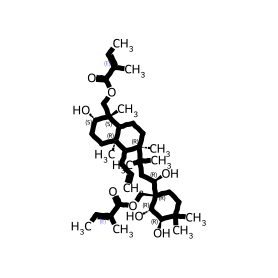 C=CCC1[C@@]2(C)CC[C@H](O)[C@](C)(COC(=O)/C(C)=C/C)C2CC[C@@]1(C)C(C)(C)C[C@@H](O)[C@]1(COC(=O)/C(C)=C/C)CCC(C)(C)[C@@H](O)[C@@H]1O